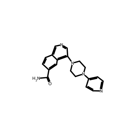 NC(=O)c1ccc2cncc(N3CCN(c4ccncc4)CC3)c2c1